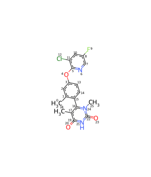 Cc1cc(Oc2ncc(F)cc2Cl)ccc1-c1c(C)c(=O)[nH]c(=O)n1C